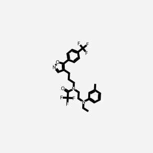 CCN(CCN(CCCc1cnoc1-c1ccc(C(F)(F)F)cc1)C(=O)C(F)(F)F)c1cccc(C)c1